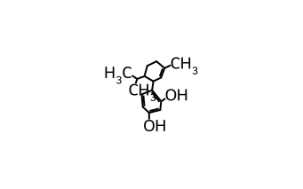 CC1=CC(c2ccc(O)cc2O)C(C(C)C)CC1